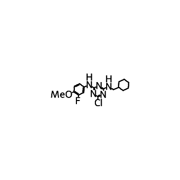 COc1ccc(Nc2nc(Cl)nc(NCC3CCCCC3)n2)cc1F